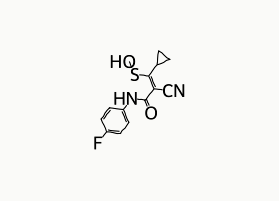 N#CC(C(=O)Nc1ccc(F)cc1)=C(SO)C1CC1